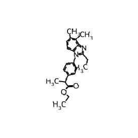 CCOC(=O)C(C)c1ccc(-n2c(CC)nc3c(C)c(C)ccc32)cc1